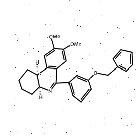 COc1cc2c(cc1OC)[C@@H]1CCCC[C@@H]1N=C2c1cccc(OCc2ccccc2)c1